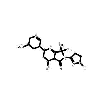 CCN1CCC(N2C(=O)C3C(=NC(C4C=NCC(OC)C4)CC3C)C2(C)C)=N1